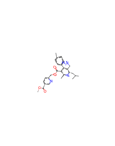 COC(=O)c1ccc(COC(=O)c2c(C)nc(CC(C)C)c(CN)c2-c2ccc(C)cc2)nc1